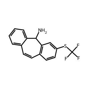 NC1c2ccccc2C=Cc2ccc(SC(F)(F)F)cc21